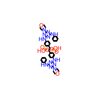 O=S(=O)(O)c1cc(Nc2nc(Nc3ccccc3)nc(N3CCOCC3)n2)ccc1CCc1ccc(Nc2nc(Nc3ccccc3)nc(N3CCOCC3)n2)cc1S(=O)(=O)O